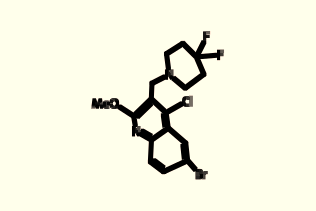 COc1nc2ccc(Br)cc2c(Cl)c1CN1CCC(F)(F)CC1